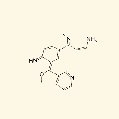 C/N=C(/C=C\N)C1=C/C(=C(/OC)c2cccnc2)C(=N)C=C1